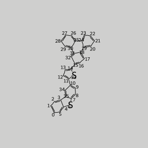 c1ccc2c(c1)sc1ccc(-c3ccc(-c4ccc5c6ccccc6c6ccccc6c5c4)s3)cc12